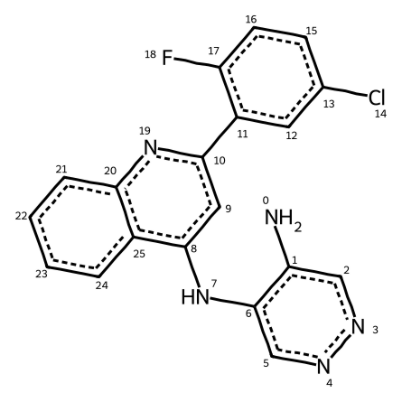 Nc1cnncc1Nc1cc(-c2cc(Cl)ccc2F)nc2ccccc12